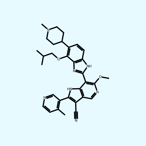 COc1ncc2c(C#N)c(-c3cnccc3C)[nH]c2c1-c1nc2c(OCC(C)C)c(C3CCN(C)CC3)ccc2[nH]1